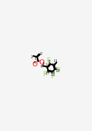 C=C(C)C(=O)OCc1c(F)c(C)c(F)c(F)c1F